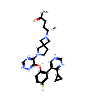 COC(=O)CC[C@H](C(C)C)N1CC2(CCN(c3ncnnc3Oc3ccc(F)cc3-c3cncnc3C3CC3)C2)C1